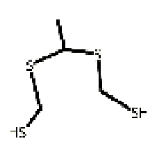 CC(SCS)SCS